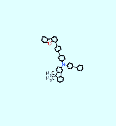 CC1(C)c2ccccc2-c2cc(N(c3ccc(-c4ccccc4)cc3)c3ccc(-c4ccc(-c5cccc6c5oc5ccccc56)cc4)cc3)ccc21